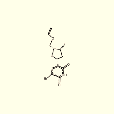 C=COC[C@H]1O[C@@H](n2cc(Br)c(=O)[nH]c2=O)C[C@@H]1F